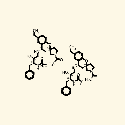 CCc1ccc2c(c1)[C@@H](NC[C@@H](O)[C@H](Cc1ccccc1)NC(C)=O)C[C@@]1(CCN(C(C)=O)C1)O2.CCc1ccc2c(c1)[C@@H](NC[C@@H](O)[C@H](Cc1ccccc1)NC(C)=O)C[C@]1(CCN(C(C)=O)C1)O2